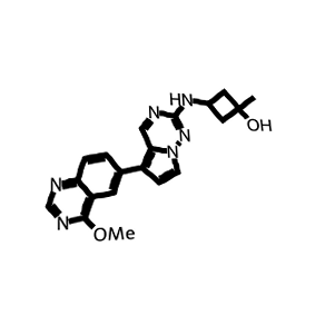 COc1ncnc2ccc(-c3ccn4nc(NC5CC(C)(O)C5)ncc34)cc12